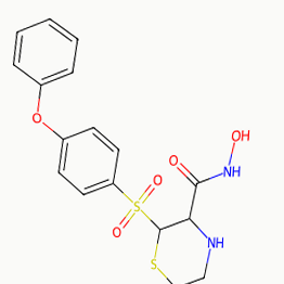 O=C(NO)C1NCCSC1S(=O)(=O)c1ccc(Oc2ccccc2)cc1